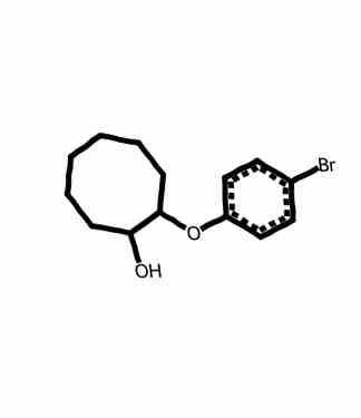 OC1CCCCCCC1Oc1ccc(Br)cc1